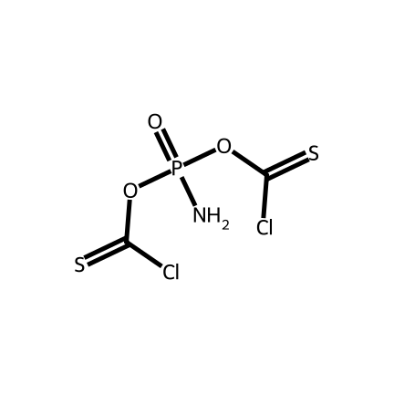 NP(=O)(OC(=S)Cl)OC(=S)Cl